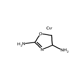 NC1=NC(N)CO1.[Cu]